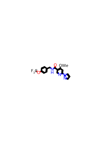 COc1cc(-n2cccn2)ncc1C(=O)NCc1ccc(OC(F)(F)F)cc1